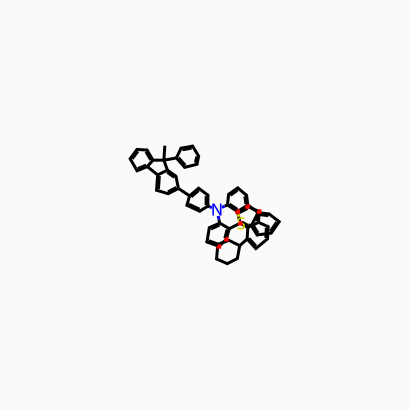 CC1(c2ccccc2)c2ccccc2-c2ccc(-c3ccc(N(c4ccccc4-c4cccc5cccc(C6CCCCC6)c45)c4cccc5c4sc4ccccc45)cc3)cc21